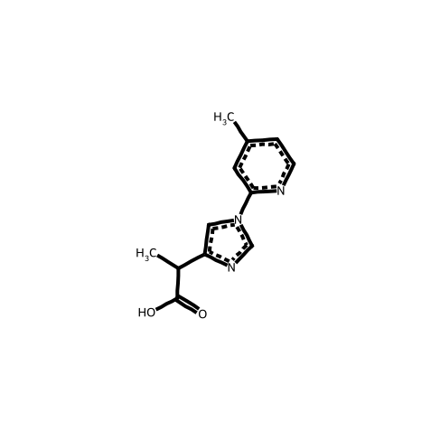 Cc1ccnc(-n2cnc(C(C)C(=O)O)c2)c1